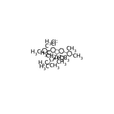 CCC1C=C(C(C)(C)C)C=[C]1[Zr+2](=[C](C)C)[CH]1c2cc(-c3c(C)cc(C)cc3C)ccc2-c2ccc(-c3c(C)cc(C)cc3C)cc21.[Cl-].[Cl-]